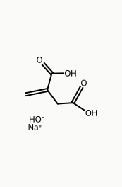 C=C(CC(=O)O)C(=O)O.[Na+].[OH-]